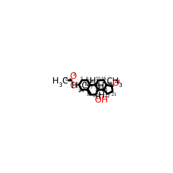 CC(=O)O[C@H]1CC[C@@]2(C)C(=CC(O)[C@@H]3[C@@H]2CC[C@]2(C)C(=O)CC[C@@H]32)C1